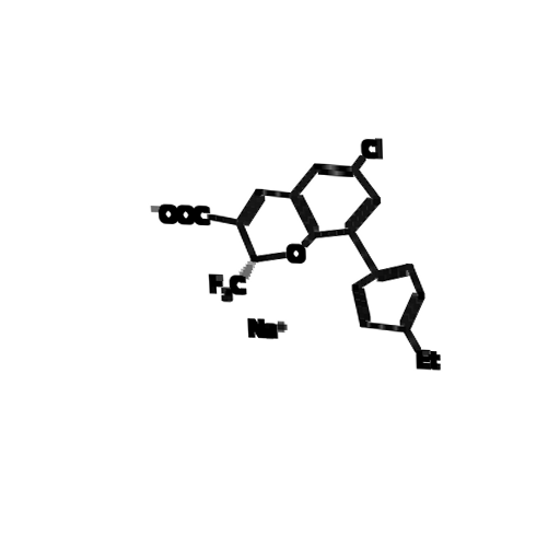 CCc1ccc(-c2cc(Cl)cc3c2O[C@H](C(F)(F)F)C(C(=O)[O-])=C3)cc1.[Na+]